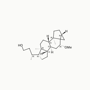 CO[C@@H]1C[C@H]2[C@@H]3CC[C@H]([C@H](C)CCO)[C@@]3(C)CC[C@@H]2[C@@]2(C)CC[C@@H]3CC312